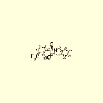 O=C1C2c3cccc(C(F)(F)F)c3COC2CN1Cc1ccccc1